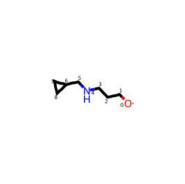 [O]CCCNCC1CC1